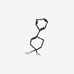 CC1(C)CC=C(c2c[c]ccc2)CC1